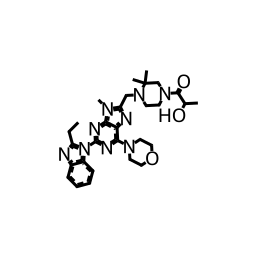 CCc1nc2ccccc2n1-c1nc(N2CCOCC2)c2nc(CN3CCN(C(=O)C(C)O)CC3(C)C)n(C)c2n1